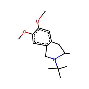 COc1cc2c(cc1OC)CN(C(C)(C)C)C(C)C2